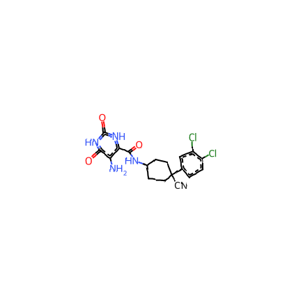 N#CC1(c2ccc(Cl)c(Cl)c2)CCC(NC(=O)c2[nH]c(=O)[nH]c(=O)c2N)CC1